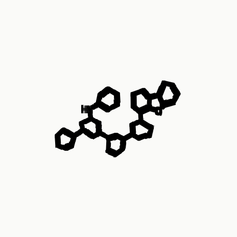 C1=C(c2cccc(-c3cccc(-c4cccc5c4oc4ccccc45)c3)c2)C=C(c2ccccc2)CC1Nc1ccccc1